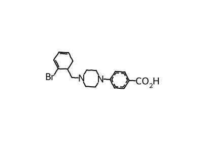 O=C(O)c1ccc(N2CCN(CC3CC=CC=C3Br)CC2)cc1